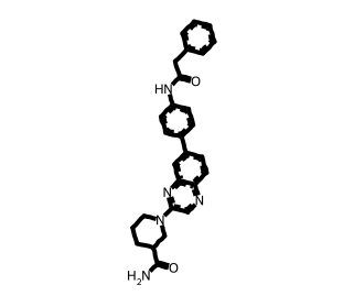 NC(=O)C1CCCN(c2cnc3ccc(-c4ccc(NC(=O)Cc5ccccc5)cc4)cc3n2)C1